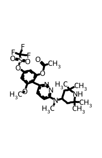 COc1cc(OS(=O)(=O)C(F)(F)F)cc(OC(C)=O)c1-c1ccc(N(C)C2CC(C)(C)NC(C)(C)C2)nn1